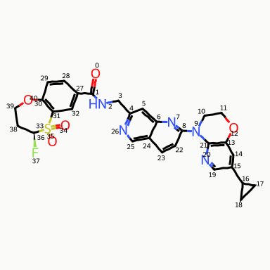 O=C(NCc1cc2nc(N3CCOc4cc(C5CC5)cnc43)ccc2cn1)c1ccc2c(c1)S(=O)(=O)[C@@H](F)CCO2